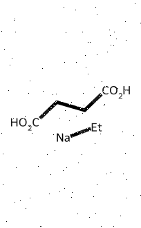 C[CH2][Na].O=C(O)CCC(=O)O